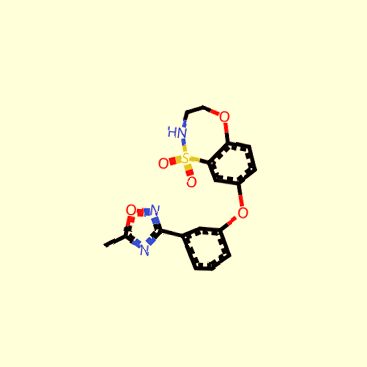 Cc1nc(-c2cccc(Oc3ccc4c(c3)S(=O)(=O)NCCO4)c2)no1